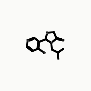 CC(C)CN1C(=O)CSC1c1cnccc1Br